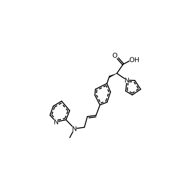 CN(CC=Cc1ccc(C[C@@H](C(=O)O)n2cccc2)cc1)c1ccccn1